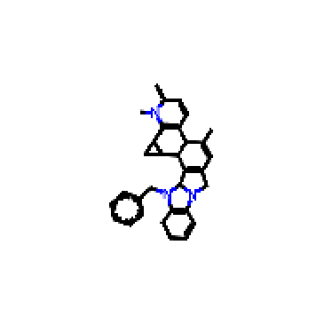 CC1=CC2=C(C3C1C1=C(C4CC43)N(C)C(C)C=C1)C1N(C2)C2=C(CCC=C2)N1Cc1ccccc1